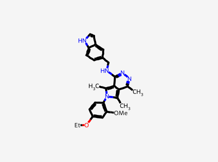 CCOc1ccc(-n2c(C)c3c(C)nnc(NCc4ccc5[nH]ccc5c4)c3c2C)c(OC)c1